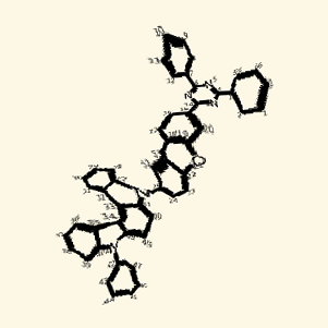 c1ccc(-c2nc(-c3ccccc3)nc(-c3ccc4c(c3)oc3ccc(-n5c6ccccc6c6c7c8ccccc8n(-c8ccccc8)c7ccc65)cc34)n2)cc1